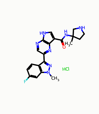 Cl.Cn1nc(-c2cnc3[nH]cc(C(=O)NC4(C)CCNC4)c3n2)c2ccc(F)cc21